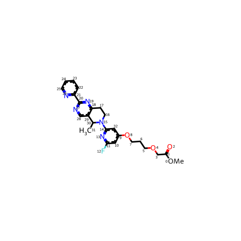 COC(=O)COCCCOc1cc(F)nc(N2CCc3nc(-c4ccccn4)ncc3C2C)c1